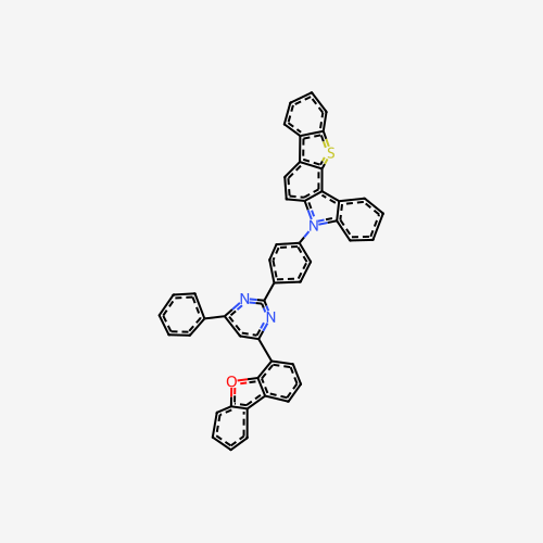 c1ccc(-c2cc(-c3cccc4c3oc3ccccc34)nc(-c3ccc(-n4c5ccccc5c5c6sc7ccccc7c6ccc54)cc3)n2)cc1